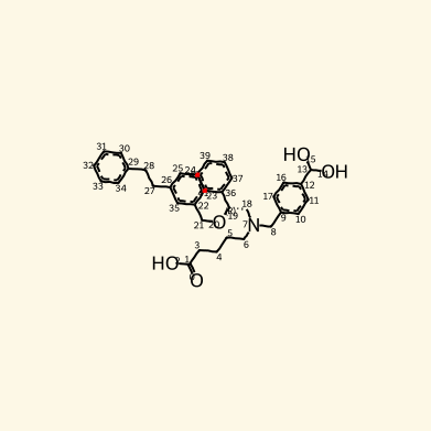 O=C(O)CCCCN(Cc1ccc(C(O)O)cc1)C[C@H](OCc1cccc(CCc2ccccc2)c1)c1ccccc1